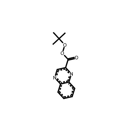 CC(C)(C)OOC(=O)c1cnc2ccccc2n1